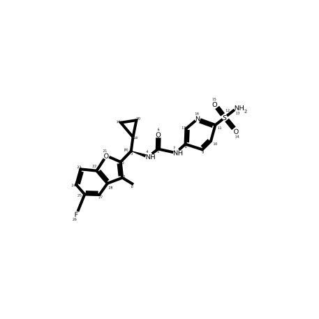 Cc1c([C@H](NC(=O)Nc2ccc(S(N)(=O)=O)nc2)C2CC2)oc2ccc(F)cc12